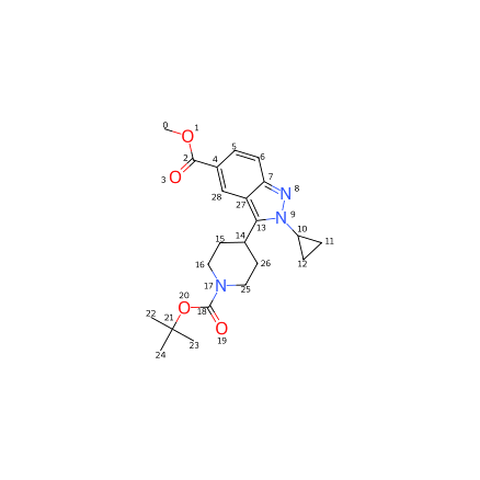 COC(=O)c1ccc2nn(C3CC3)c(C3CCN(C(=O)OC(C)(C)C)CC3)c2c1